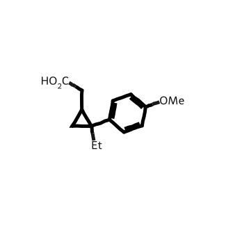 CCC1(c2ccc(OC)cc2)CC1CC(=O)O